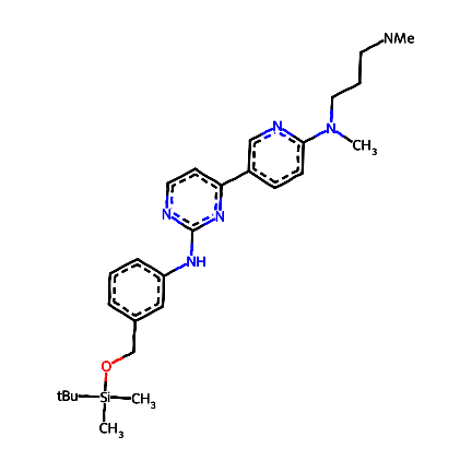 CNCCCN(C)c1ccc(-c2ccnc(Nc3cccc(CO[Si](C)(C)C(C)(C)C)c3)n2)cn1